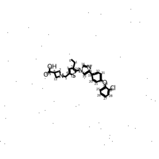 CCc1cc(CN2CC(C(=O)O)C2)sc1-n1cnc(-c2ccc(Oc3ccccc3Cl)cc2)c1